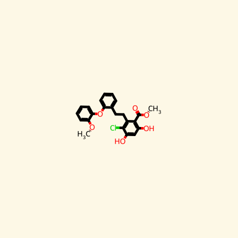 COC(=O)c1c(O)cc(O)c(Cl)c1CCc1ccccc1Oc1ccccc1OC